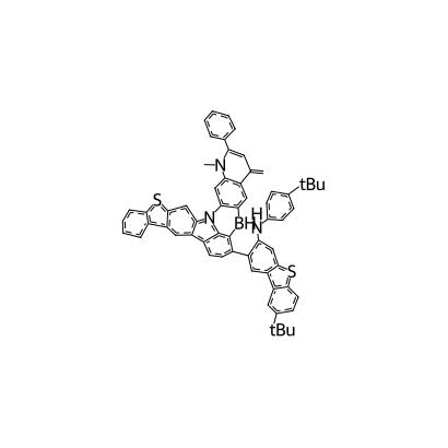 C=C1C=C(c2ccccc2)N(C)c2cc3c(cc21)Bc1c(-c2cc4c(cc2Nc2ccc(C(C)(C)C)cc2)sc2ccc(C(C)(C)C)cc24)ccc2c4cc5c(cc4n-3c12)sc1ccccc15